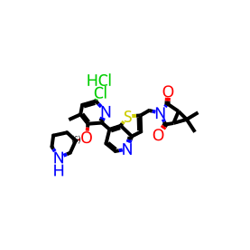 Cc1cc(Cl)nc(-c2ccnc3cc(CN4C(=O)C5C(C4=O)C5(C)C)sc23)c1O[C@H]1CCCNC1.Cl